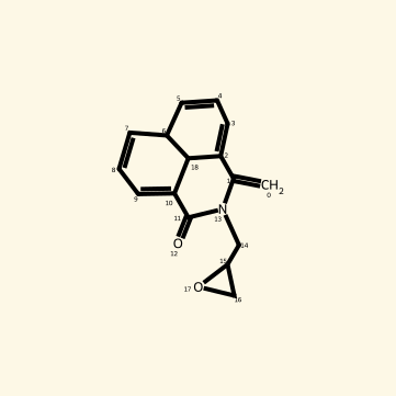 C=C1C2=CC=CC3C=CC=C(C(=O)N1CC1CO1)C23